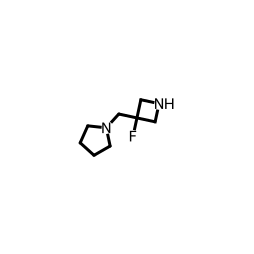 FC1(CN2CCCC2)CNC1